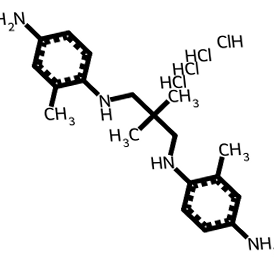 Cc1cc(N)ccc1NCC(C)(C)CNc1ccc(N)cc1C.Cl.Cl.Cl.Cl